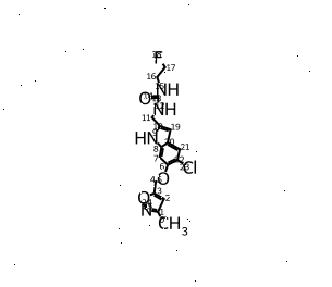 Cc1cc(COc2cc3[nH]c(CNC(=O)NCCF)cc3cc2Cl)on1